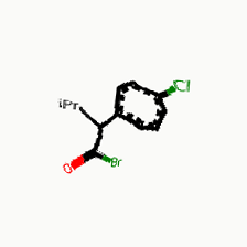 CC(C)C(C(=O)Br)c1ccc(Cl)cc1